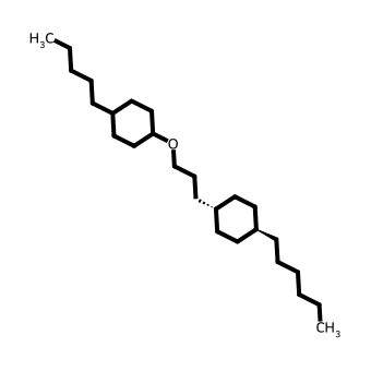 CCCCCC[C@H]1CC[C@H](CCCOC2CCC(CCCCC)CC2)CC1